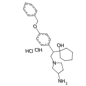 Cl.Cl.NC1CCN(CC(c2ccc(OCc3ccccc3)cc2)C2(O)CCCCC2)C1